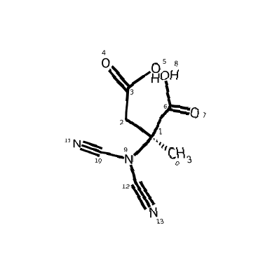 C[C@](CC(=O)O)(C(=O)O)N(C#N)C#N